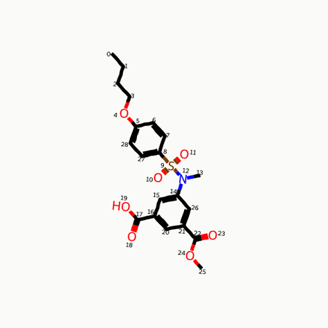 CCCCOc1ccc(S(=O)(=O)N(C)c2cc(C(=O)O)cc(C(=O)OC)c2)cc1